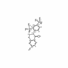 O=C1c2ccc(F)cc2CCC1c1ccc(C(F)(F)F)cc1C(F)(F)F